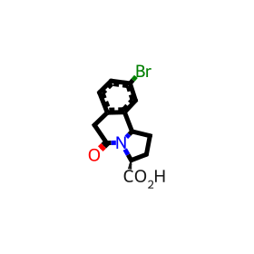 O=C(O)[C@@H]1CCC2c3cc(Br)ccc3CC(=O)N21